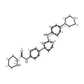 O=C(Nc1ccc(-c2ccnc(Nc3ccc(N4CCOCC4)cc3)n2)cc1)[C@H]1CCCCN1